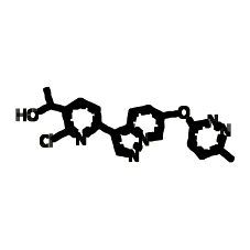 Cc1ccc(Oc2ccc3c(-c4ccc(C(C)O)c(Cl)n4)cnn3c2)nn1